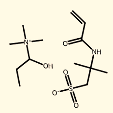 C=CC(=O)NC(C)(C)CS(=O)(=O)[O-].CCC(O)[N+](C)(C)C